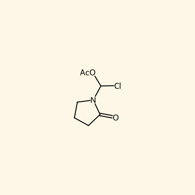 CC(=O)OC(Cl)N1CCCC1=O